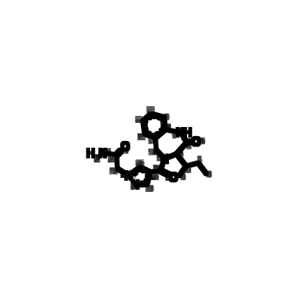 CCC(C)C1C(=O)Nc2ccccc2CN1C(=O)c1cnn(CC(N)=O)c1